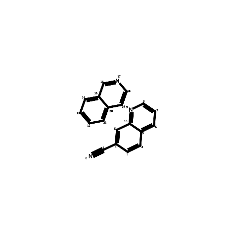 N#Cc1ccc2cccnc2c1.c1ccc2cnccc2c1